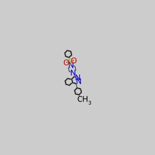 Cc1ccc(-c2nnc(N3CCN(S(=O)(=O)c4ccccc4)CC3)c3ccccc23)cc1